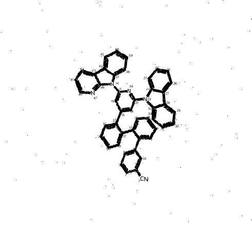 N#Cc1cccc(-c2ccccc2-c2ccccc2-c2cc(-n3c4ccccc4c4ccccc43)nc(-n3c4ccccc4c4cccnc43)c2)c1